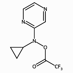 O=C(ON(c1cnccn1)C1CC1)C(F)(F)F